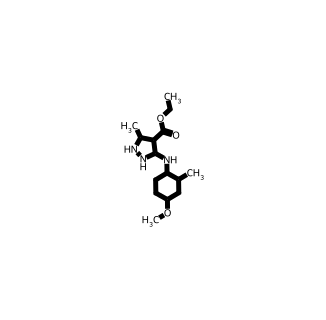 CCOC(=O)C1C(C)NNC1NC1CCC(OC)CC1C